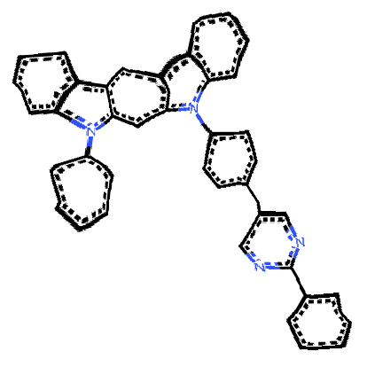 c1ccc(-c2ncc(-c3ccc(-n4c5ccccc5c5cc6c7ccccc7n(-c7ccccc7)c6cc54)cc3)cn2)cc1